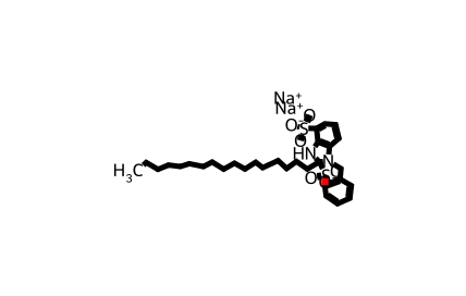 CCCCCCCCCCCCCCCCCC1(S(=O)(=O)[O-])Nc2c(cccc2S(=O)(=O)[O-])N1Cc1ccccc1.[Na+].[Na+]